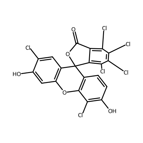 O=C1OC2(c3cc(Cl)c(O)cc3Oc3c2ccc(O)c3Cl)c2c(Cl)c(Cl)c(Cl)c(Cl)c21